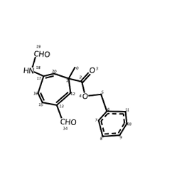 CC1(C(=O)OCc2ccccc2)C=C(C=O)C=CC(NC=O)=C1